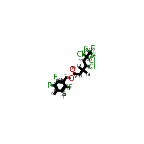 Cc1c(F)c(F)c(COC(=O)CC(C)(C)C(Cl)CC(Cl)(Cl)C(F)(F)F)c(F)c1F